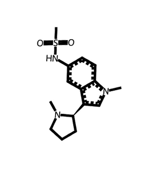 CN1CCC[C@@H]1c1cn(C)c2ccc(NS(C)(=O)=O)cc12